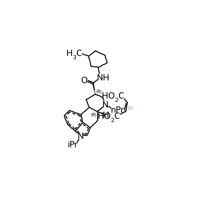 CCCN1C[C@H](C(=O)NC2CCCC(C)C2)CC2c3cccc4c3c(cn4C(C)C)C[C@H]21.O=C(O)/C=C\C(=O)O